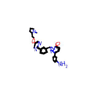 CN1CCCC1CCOc1cnc(-c2cccc(Cn3nc(-c4cccc(N)c4)ccc3=O)c2)nc1